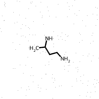 [CH2]C([NH])CCN